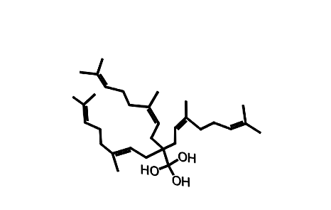 CC(C)=CCCC(C)=CCC(CC=C(C)CCC=C(C)C)(CC=C(C)CCC=C(C)C)C(O)(O)O